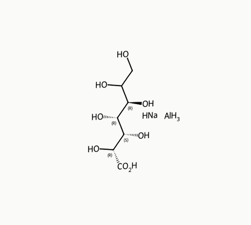 O=C(O)[C@H](O)[C@@H](O)[C@H](O)[C@H](O)C(O)CO.[AlH3].[NaH]